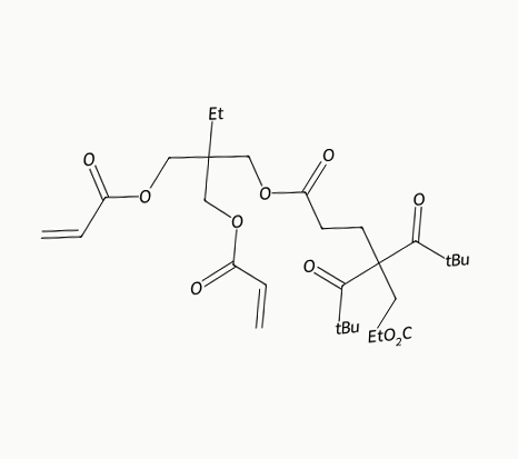 C=CC(=O)OCC(CC)(COC(=O)C=C)COC(=O)CCC(CC(=O)OCC)(C(=O)C(C)(C)C)C(=O)C(C)(C)C